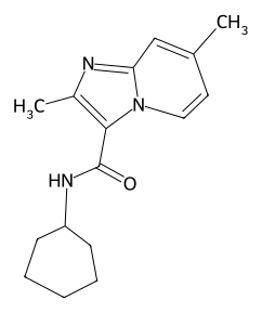 Cc1ccn2c(C(=O)NC3CCCCC3)c(C)nc2c1